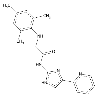 Cc1cc(C)c(NCC(=O)Nc2nc(-c3ccccn3)c[nH]2)c(C)c1